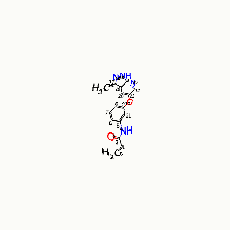 C=CC(=O)Nc1cccc(Oc2cnc3[nH]nc(C)c3c2)c1